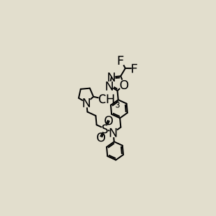 CC1CCCN1CCCS(=O)(=O)N(Cc1ccc(-c2nnc(C(F)F)o2)cc1)c1ccccc1